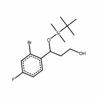 CC(C)(C)[Si](C)(C)OC(CCO)c1ccc(F)cc1Br